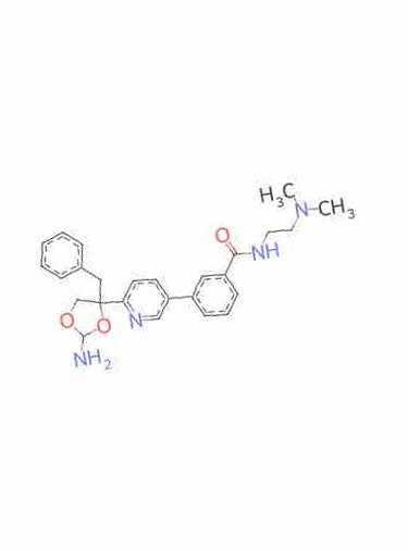 CN(C)CCNC(=O)c1cccc(-c2ccc(C3(Cc4ccccc4)COC(N)O3)nc2)c1